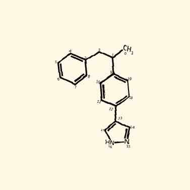 CC(Cc1ccccc1)c1ccc(-c2cn[nH]c2)cc1